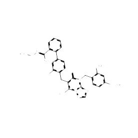 CCCc1c(Cc2ccc(-c3ccccc3/C(=N/OC=O)NC)cc2F)c(=O)n(Cc2ccc(OC)cc2OC)c2ncnn12